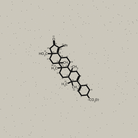 CCOC(=O)C1CC=C(C2=CCC3(C)C(CCC4(C)C3CCC3C5=C(C(C)C)C(=O)CC5(C(=O)O)CCC34C)C2(C)C)CC1